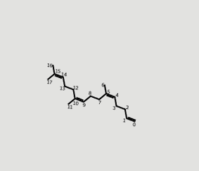 C=CCCC=C(C)CCC=C(C)CCC=C(C)C